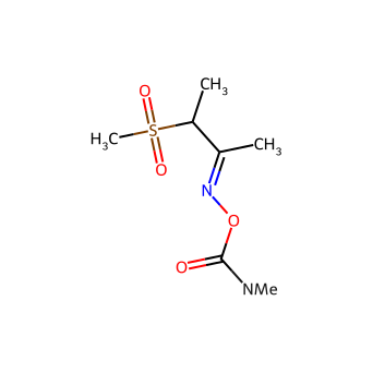 CNC(=O)O/N=C(\C)C(C)S(C)(=O)=O